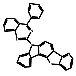 c1ccc(-c2nc(-n3c4ccccc4c4c5oc6ccccc6c5ccc43)nc3ccccc23)cc1